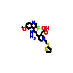 COc1ccc2ncc(F)c(C(N)CCC3CCN(CCSc4cccs4)CC3CC(=O)O)c2c1